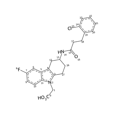 O=C(O)Cn1c2c(c3cc(F)ccc31)CC(NC(=O)CCc1ccccc1Cl)CC2